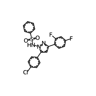 O=S(=O)(Nn1nc(-c2ccc(F)cc2F)cc1-c1ccc(Cl)cc1)c1ccccc1